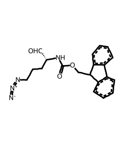 [N-]=[N+]=NCCC[C@H](C=O)NC(=O)OCC1c2ccccc2-c2ccccc21